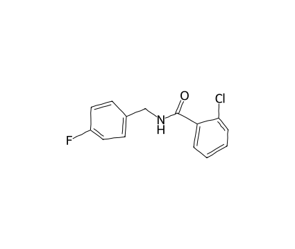 O=C(NCc1ccc(F)cc1)c1ccccc1Cl